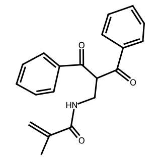 C=C(C)C(=O)NCC(C(=O)c1ccccc1)C(=O)c1ccccc1